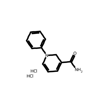 Cl.Cl.NC(=O)C1=CC=CN(c2ccccc2)C1